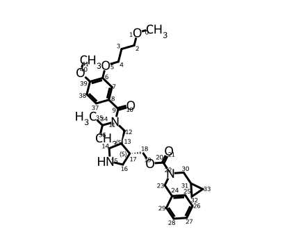 COCCCOc1cc(C(=O)N(C[C@@H]2CNC[C@H]2COC(=O)N(Cc2ccccc2)CC2CC2)C(C)C)ccc1OC